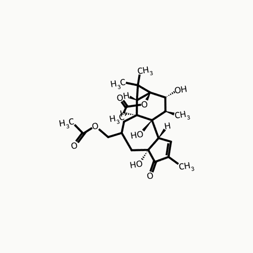 CC(=O)OCC1C[C@H]2[C@@H]3C(C)(C)[C@]3(OC(C)=O)[C@H](O)[C@@H](C)[C@]2(O)[C@@H]2C=C(C)C(=O)[C@@]2(O)C1